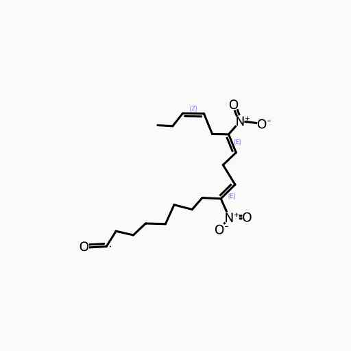 CC/C=C\C/C(=C\C/C=C(\CCCCCCC[C]=O)[N+](=O)[O-])[N+](=O)[O-]